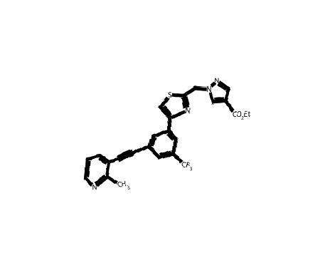 CCOC(=O)c1cnn(Cc2nc(-c3cc(C#Cc4cccnc4C)cc(C(F)(F)F)c3)cs2)c1